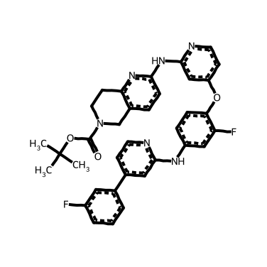 CC(C)(C)OC(=O)N1CCc2nc(Nc3cc(Oc4ccc(Nc5cc(-c6cccc(F)c6)ccn5)cc4F)ccn3)ccc2C1